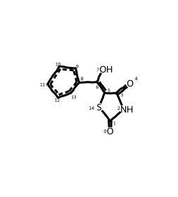 O=C1NC(=O)C(=C(O)c2ccccc2)S1